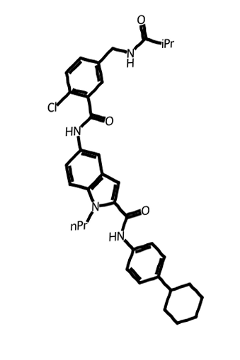 CCCn1c(C(=O)Nc2ccc(C3CCCCC3)cc2)cc2cc(NC(=O)c3cc(CNC(=O)C(C)C)ccc3Cl)ccc21